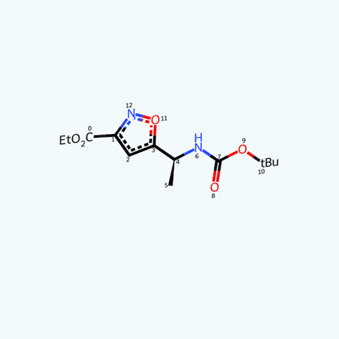 CCOC(=O)c1cc([C@H](C)NC(=O)OC(C)(C)C)on1